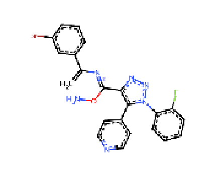 C=C(/N=C(\ON)c1nnn(-c2ccccc2F)c1-c1ccncc1)c1cccc(Br)c1